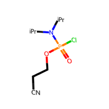 CC(C)N(C(C)C)P(=O)(Cl)OCCC#N